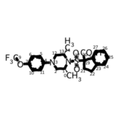 C[C@@H]1CN(c2ccc(OC(F)(F)F)cc2)C[C@H](C)N1S(=O)(=O)C1(C(=O)O)CCc2ccccc21